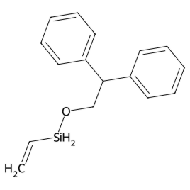 C=C[SiH2]OCC(c1ccccc1)c1ccccc1